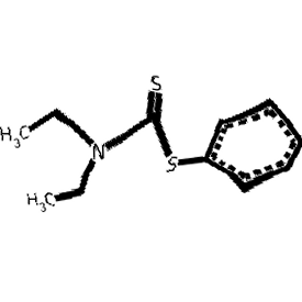 CCN(CC)C(=S)Sc1ccccc1